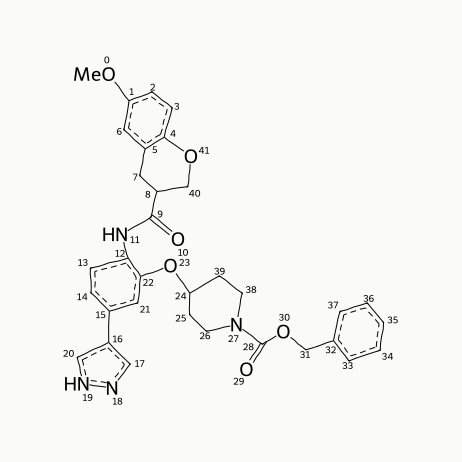 COc1ccc2c(c1)CC(C(=O)Nc1ccc(-c3cn[nH]c3)cc1OC1CCN(C(=O)OCc3ccccc3)CC1)CO2